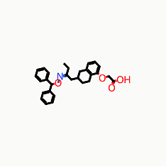 CC/C(CC1CCc2c(cccc2OCC(=O)O)C1)=N/OC(c1ccccc1)c1ccccc1